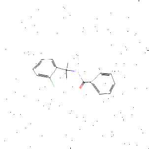 CC(NC(=O)c1ccccc1)(C(=O)O)c1ccccc1Cl